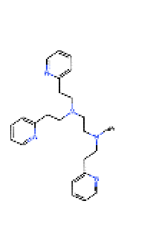 CC(C)N(CCc1ccccn1)CCN(CCc1ccccn1)CCc1ccccn1